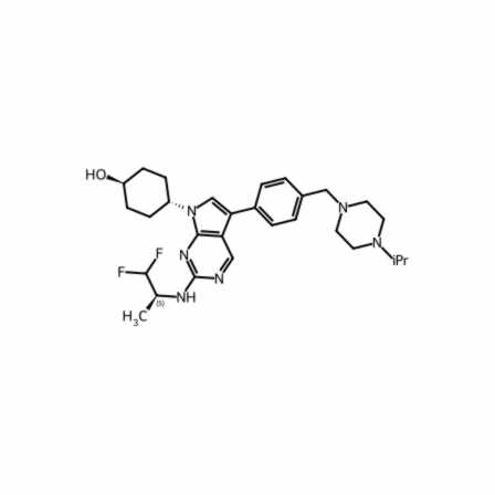 CC(C)N1CCN(Cc2ccc(-c3cn([C@H]4CC[C@H](O)CC4)c4nc(N[C@@H](C)C(F)F)ncc34)cc2)CC1